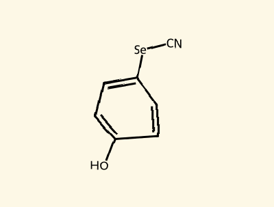 N#C[Se]c1ccc(O)cc1